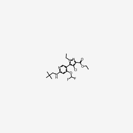 CCOC(=O)c1nn(CC)c(-c2cnc(NCC(C)(C)C)cc2OC(F)F)c1Cl